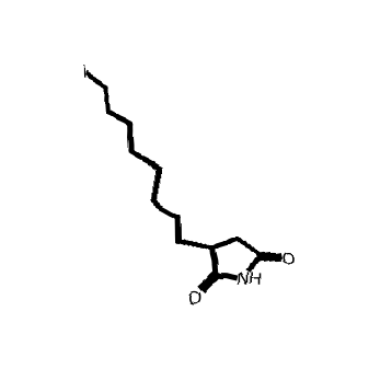 O=C1CC(CCCCCCCCI)C(=O)N1